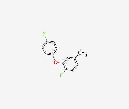 Cc1ccc(F)c(Oc2ccc(F)cc2)c1